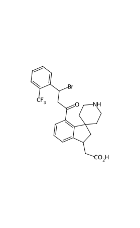 O=C(O)CC1CC2(CCNCC2)c2c(C(=O)CC(Br)c3ccccc3C(F)(F)F)cccc21